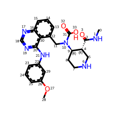 CNC(=O)[C@@H]1CNCC[C@H]1N(Cc1cccc2ncnc(Nc3cccc(OC)c3)c12)C(=O)O